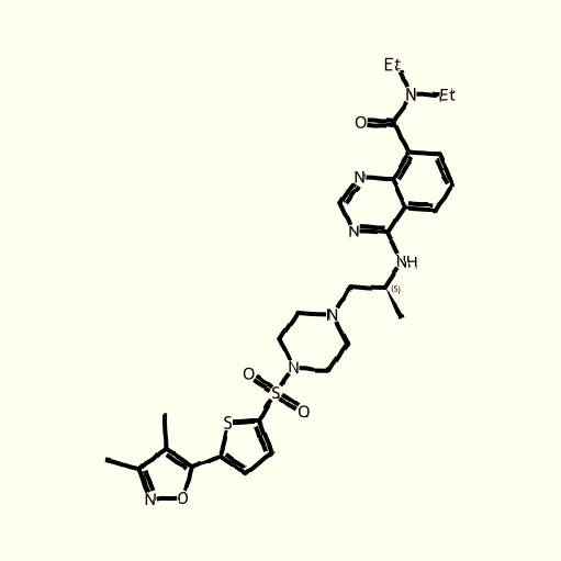 CCN(CC)C(=O)c1cccc2c(N[C@@H](C)CN3CCN(S(=O)(=O)c4ccc(-c5onc(C)c5C)s4)CC3)ncnc12